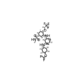 CNS(=O)(=O)c1ccc(OCC(F)(F)F)c(Nc2cc(Nc3ccc(OC(F)F)cc3)ncn2)c1